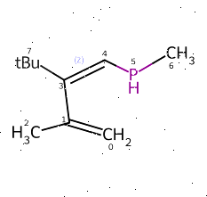 C=C(C)/C(=C\PC)C(C)(C)C